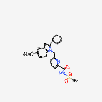 CCCS(=O)(=O)NC(=O)c1cccc(Cn2c(-c3ccccc3)cc3cc(OC)ccc32)n1